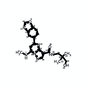 CNc1cc(-c2ccc3ocnc3c2)nc2c(C(=O)NCC(C)(C)CO)cnn12